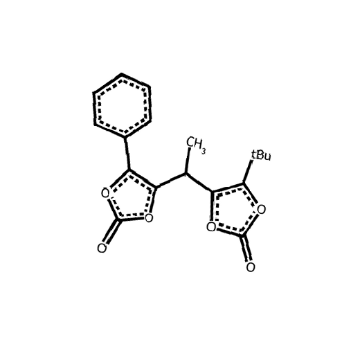 C[C](c1oc(=O)oc1-c1ccccc1)c1oc(=O)oc1C(C)(C)C